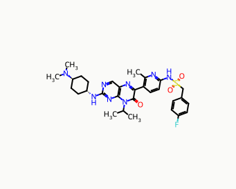 Cc1nc(NS(=O)(=O)Cc2ccc(F)cc2)ccc1-c1nc2cnc(N[C@H]3CC[C@H](N(C)C)CC3)nc2n(C(C)C)c1=O